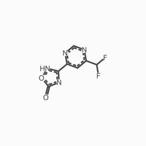 O=c1nc(-c2cc(C(F)F)ncn2)[nH]o1